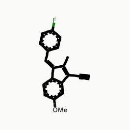 C#CC1=C(C)C(=Cc2ccc(F)cc2)c2ccc(OC)cc21